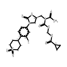 CC(=O)N(C[C@H]1CN(c2ccc(C3CCS(=O)(=O)CC3)c(F)c2)C(=O)O1)C(=O)OCOC(=O)C1CC1